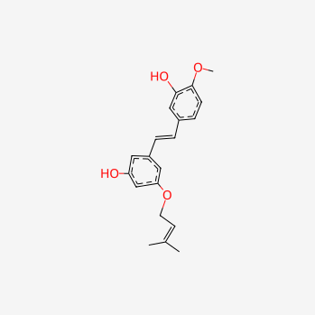 COc1ccc(C=Cc2cc(O)cc(OCC=C(C)C)c2)cc1O